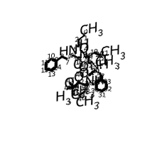 CCCC(=O)N[C@@H](CCc1ccccc1)C(=O)N[C@@H](CC(C)C)C(=O)N[C@@H](Cc1ccccc1)C(=O)N[C@@H](CC(C)C)C(=O)[C@@]1(C)CO1